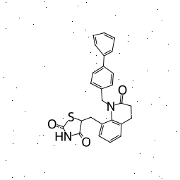 O=C1NC(=O)C(Cc2cccc3c2N(Cc2ccc(-c4ccccc4)cc2)C(=O)CC3)S1